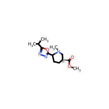 COC(=O)[C@H]1CCC(c2nnc(C(C)C)o2)N(C)C1